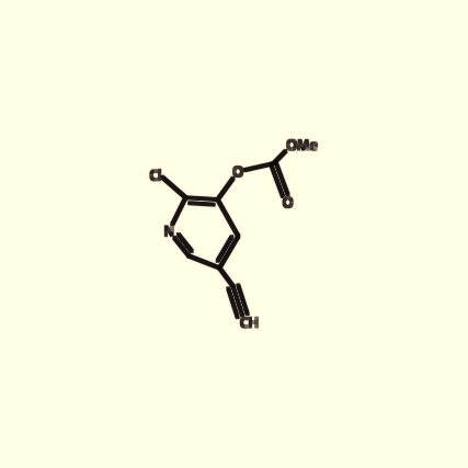 C#Cc1cnc(Cl)c(OC(=O)OC)c1